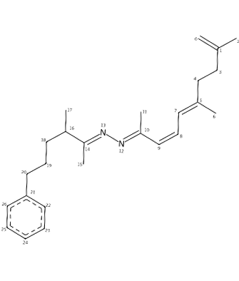 C=C(C)CC/C(C)=C/C=C\C(C)=N\N=C(/C)C(C)CCCc1ccccc1